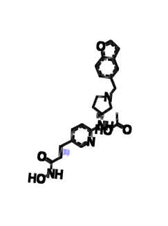 CC(=O)O.O=C(/C=C/c1ccc(N[C@@H]2CCN(Cc3ccc4occc4c3)C2)nc1)NO